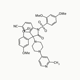 CCOc1ccc(OC)cc1C1(N2CCN(c3ccnc(C)c3)CC2)C(=O)N(S(=O)(=O)c2ccc(OC)cc2OC)c2ccc(C#N)cc21